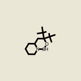 CC(C)(C)C1(C(C)(C)C)CC2CCCCN2BO1